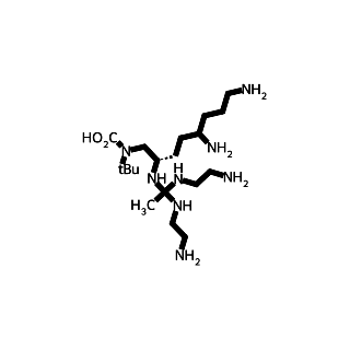 CC(NCCN)(NCCN)N[C@@H](CCC(N)CCCN)CN(C(=O)O)C(C)(C)C